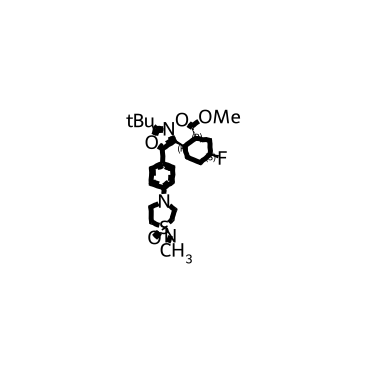 CN=S1(=O)CCN(c2ccc(-c3oc(C(C)(C)C)nc3[C@@H]3CC[C@H](F)C[C@H]3C(=O)OC)cc2)CC1